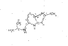 Cc1nc2ccc(NC(C)C)nc2s1